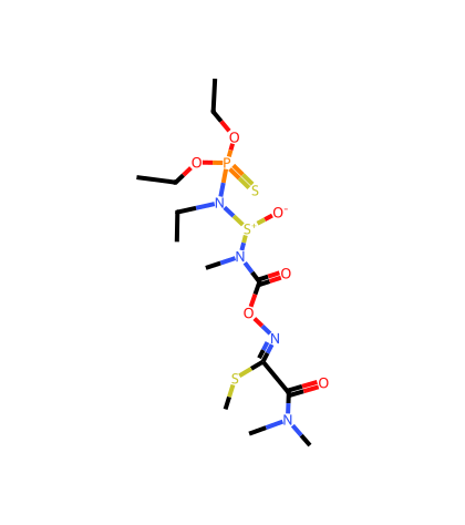 CCOP(=S)(OCC)N(CC)[S+]([O-])N(C)C(=O)ON=C(SC)C(=O)N(C)C